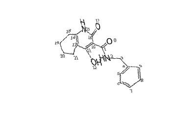 O=C(NCc1ccccc1)c1c(O)c2c([nH]c1=O)CCCC2